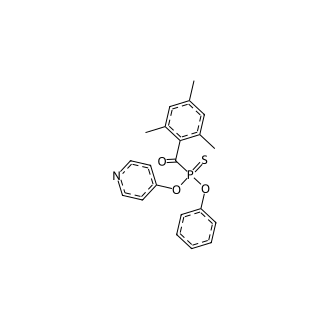 Cc1cc(C)c(C(=O)P(=S)(Oc2ccccc2)Oc2ccncc2)c(C)c1